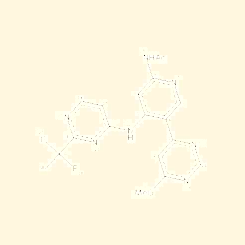 COc1cc(-c2cnc(NC(C)=O)cc2Nc2ccnc(C(C)(F)F)n2)ncn1